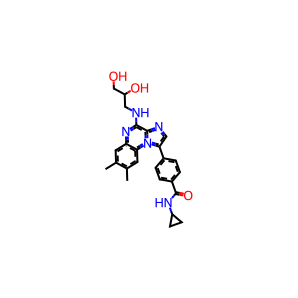 Cc1cc2nc(NCC(O)CO)c3ncc(-c4ccc(C(=O)NC5CC5)cc4)n3c2cc1C